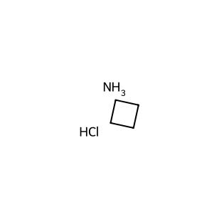 C1CCC1.Cl.N